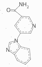 NC(=O)c1cncc(-n2cnc3ccccc32)c1